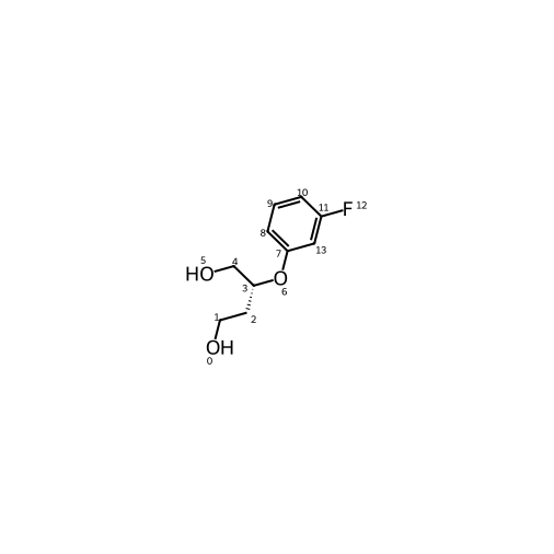 OCC[C@H](CO)Oc1cccc(F)c1